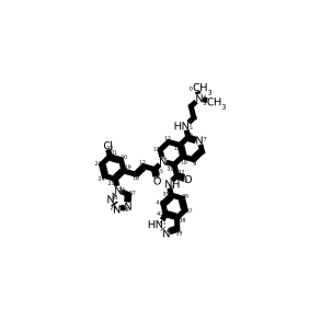 CN(C)CCNc1nccc2c1CCN(C(=O)C=Cc1cc(Cl)ccc1-n1cnnn1)C2C(=O)Nc1ccc2cn[nH]c2c1